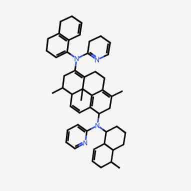 CC1=C2CCC3=C(N(C4=CCCC5=C4C=CCC5)C4=NC=CCC4)CC(C)C4C=CC(=C2C34C)C(N(c2ccccn2)C2CCCC3C(C)CC=CC32)C1